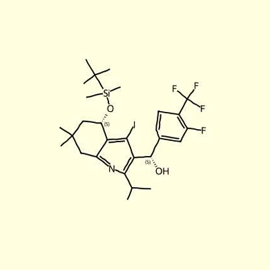 CC(C)c1nc2c(c(I)c1[C@@H](O)c1ccc(C(F)(F)F)c(F)c1)[C@@H](O[Si](C)(C)C(C)(C)C)CC(C)(C)C2